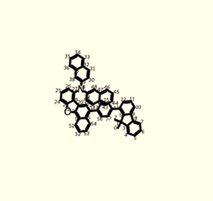 CC1(C)c2ccccc2-c2cccc(-c3ccc(-c4cc5c(oc6cccc(N(c7ccc8ccccc8c7)c7ccc8ccccc8c7)c65)c5ccccc45)cc3)c21